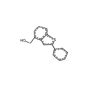 OCc1cccc2sc(-c3ccccc3)cc12